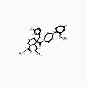 CCCC1N(C(=O)OC)CCCC1(Cc1ccc(C)s1)C(=O)N1CCN(c2ccccc2OC)CC1